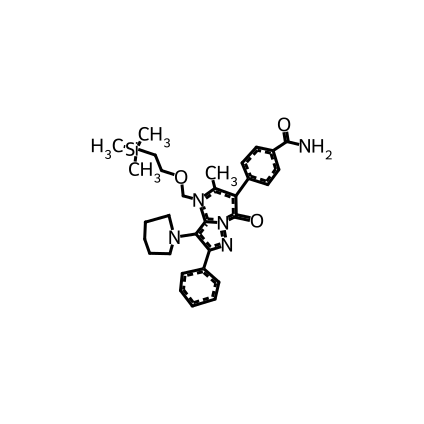 Cc1c(-c2ccc(C(N)=O)cc2)c(=O)n2nc(-c3ccccc3)c(N3CCCCC3)c2n1COCC[Si](C)(C)C